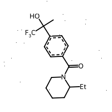 CCC1CCCCN1C(=O)c1ccc(C(C)(O)C(F)(F)F)cc1